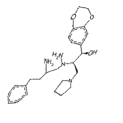 NC(CCc1ccccc1)CN(N)[C@H](CN1CCCC1)[C@H](O)c1ccc2c(c1)OCCO2